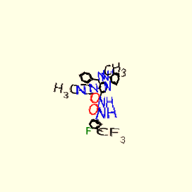 CN1CCN(c2c(C(=O)NC(=O)Nc3ccc(F)c(C(F)(F)F)c3)cnc3c2C(c2ccccc2)=N[N+]3(C)c2ccccc2)CC1